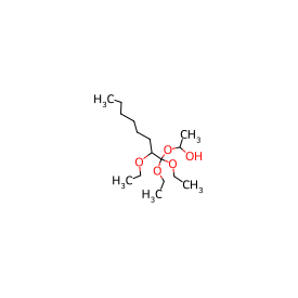 CCCCCCC(OCC)C(OCC)(OCC)OC(C)O